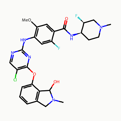 COc1cc(C(=O)N[C@@H]2CCN(C)C[C@@H]2F)c(F)cc1Nc1ncc(Cl)c(Oc2cccc3c2C(O)N(C)C3)n1